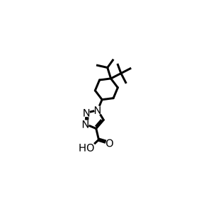 CC(C)C1(C(C)(C)C)CCC(n2cc(C(=O)O)nn2)CC1